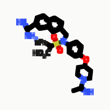 CCCC(C(=O)O)S(=O)(=O)N(Cc1ccc2ccc(C(=N)N)cc2c1)c1ccc(OC2CCN(C(C)=N)CC2)cc1